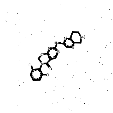 O=C1c2cnc(Nc3cnc4c(n3)CCNC4)nc2OCN1c1c(Cl)cccc1Cl